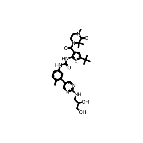 Cc1ccc(NC(=O)Nc2sc(C(C)(C)C)cc2C(=O)N2CCN(C)C(=O)C2(C)C)cc1-c1cnc(NCC(O)CO)nc1